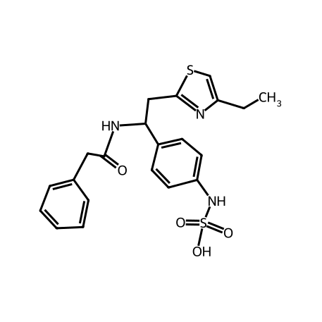 CCc1csc(CC(NC(=O)Cc2ccccc2)c2ccc(NS(=O)(=O)O)cc2)n1